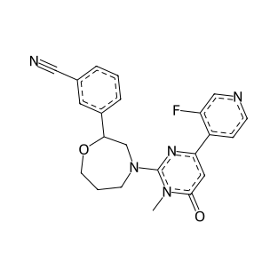 Cn1c(N2CCCOC(c3cccc(C#N)c3)C2)nc(-c2ccncc2F)cc1=O